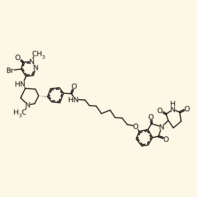 CN1C[C@H](Nc2cnn(C)c(=O)c2Br)C[C@H](c2ccc(C(=O)NCCCCCCCCOc3cccc4c3C(=O)N(C3CCC(=O)NC3=O)C4=O)cc2)C1